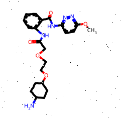 COc1ccc(NC(=O)c2ccccc2NC(=O)COCCOC2CCC(N)CC2)nn1